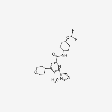 Cn1cncc1-c1nc(C(=O)N[C@H]2CC[C@H](OC(F)F)CC2)cc(C2CCOCC2)n1